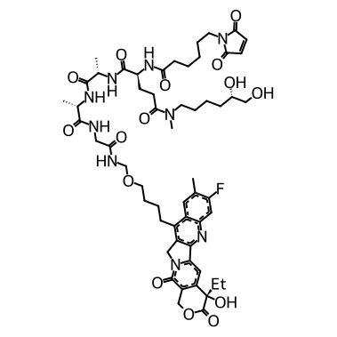 CC[C@@]1(O)C(=O)OCc2c1cc1n(c2=O)Cc2c-1nc1cc(F)c(C)cc1c2CCCCOCNC(=O)CNC(=O)[C@H](C)NC(=O)[C@H](C)NC(=O)[C@H](CCC(=O)N(C)CCCC[C@H](O)CO)NC(=O)CCCCCN1C(=O)C=CC1=O